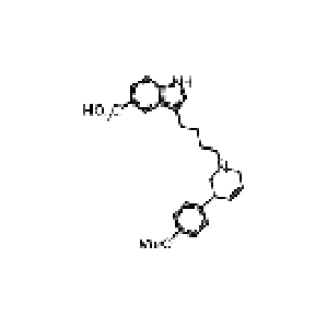 COc1ccc(C2C=CCN(CCCCc3c[nH]c4ccc(C(=O)O)cc34)C2)cc1